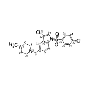 CN1CCN(Cc2ccc3c(c2)c(Cl)cn3S(=O)(=O)c2ccc(Cl)cc2)CC1